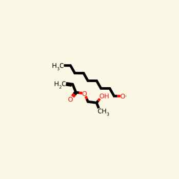 C=CC(=O)OCC(C)O.CCCCCCCCC[O]